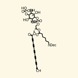 C#CC#CC#CC#CC#CC#CC(=O)OC[C@H](COP(=O)(O)OC1C(O)[C@@H](O)C(OP(=O)(O)O)[C@@H](O)[C@H]1O)OC(=O)CCCCCCCCCCCCCCC